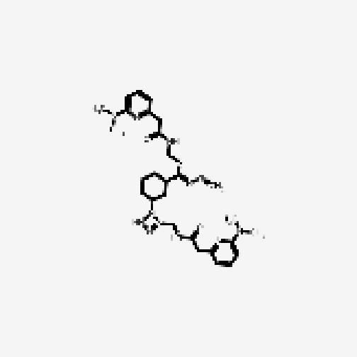 C=N/N=C(\SCNC(=O)Cc1cccc(N(C)C)n1)C1CCC[C@H](N2NN=S2CNC(=O)Cc2cccc(N(C)C)n2)C1